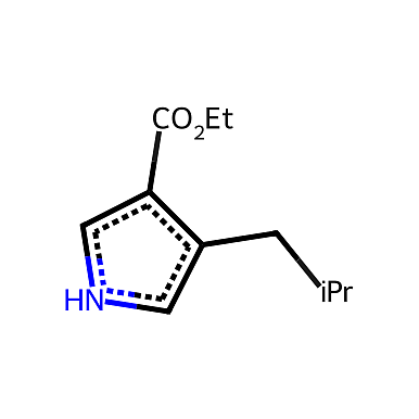 CCOC(=O)c1c[nH]cc1CC(C)C